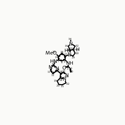 C=CC(=O)Nc1cc(Nc2nccc(-c3cnn4c3CCCC4)n2)c(OC)cc1N1CC[C@@H]2CN(C)C[C@@H]21